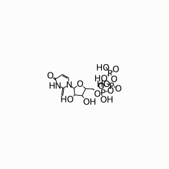 C=C1NC(=O)C=CN1C1OC(COP(=O)(O)OP(=O)(O)OP(=O)(O)O)C(O)C1O